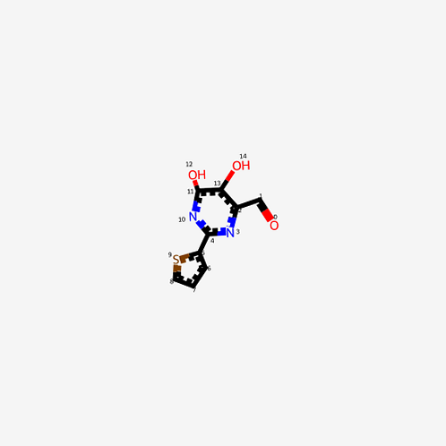 O=Cc1nc(-c2cccs2)nc(O)c1O